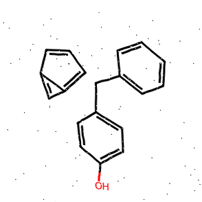 Oc1ccc(Cc2ccccc2)cc1.c1cc2cc-2c1